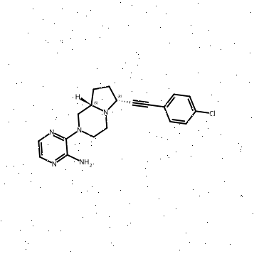 Nc1nccnc1N1CCN2[C@@H](CC[C@@H]2C#Cc2ccc(Cl)cc2)C1